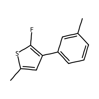 Cc1cccc(-c2cc(C)sc2F)c1